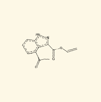 C=COC(=O)c1n[nH]c2cccc(C(C)=O)c12